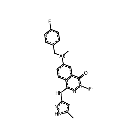 Cc1cc(Nc2nn(C(C)C)c(=O)c3cc([As](C)Cc4ccc(F)cc4)ccc23)n[nH]1